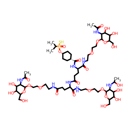 CC(=O)NC1C(OCCOCCNC(=O)CCC(NC(=O)CCC(NC(=O)[C@H]2CC[C@@H](OP(=O)(S)C(C)C)CC2)C(=O)NCCOCCOC2OC(CO)C(O)C(O)C2NC(C)=O)C(=O)NCCOCCOC2OC(CO)C(O)C(O)C2NC(C)O)OC(CO)C(O)C1O